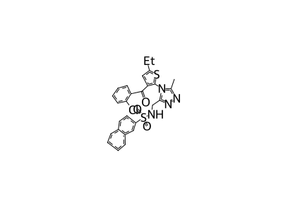 CCc1cc(C(=O)c2ccccc2Cl)c(-n2c(C)nnc2CNS(=O)(=O)c2ccc3ccccc3c2)s1